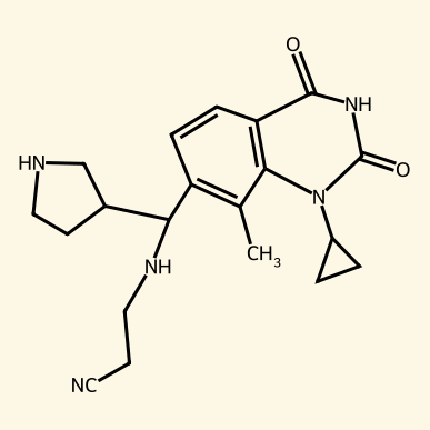 Cc1c(C(NCCC#N)C2CCNC2)ccc2c(=O)[nH]c(=O)n(C3CC3)c12